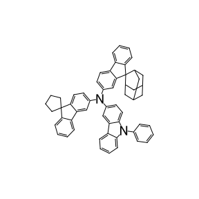 c1ccc(-n2c3ccccc3c3cc(N(c4ccc5c(c4)-c4ccccc4C54CCCC4)c4ccc5c(c4)C4(c6ccccc6-5)C5CC6CC(C5)CC4C6)ccc32)cc1